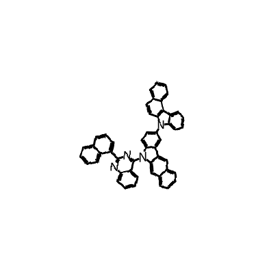 c1ccc2cc3c(cc2c1)c1cc(-n2c4ccccc4c4c5ccccc5ccc42)ccc1n3-c1nc(-c2cccc3ccccc23)nc2ccccc12